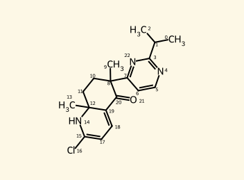 CC(C)c1nccc(C2(C)CCC3(C)NC(Cl)=CC=C3C2=O)n1